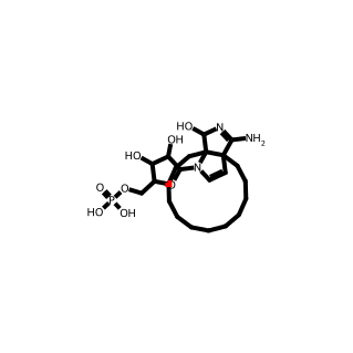 NC1=NC(O)C23CCCCCCCCCCCCC12C=CN3C1OC(COP(=O)(O)O)C(O)C1O